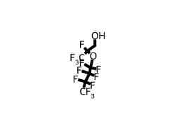 OCC(F)(OC(F)(F)C(F)(F)C(F)(F)C(F)(F)F)C(F)(F)F